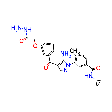 Cc1ccc(C(=O)NC2CC2)cc1-n1ncc(C(=O)c2cccc(OCC(=O)NN)c2)c1N